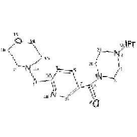 CC(C)N1CCN(C(=O)c2ccc(CN3CCOCC3)nc2)CC1